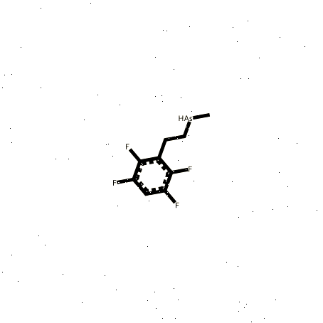 C[AsH]CCc1c(F)c(F)cc(F)c1F